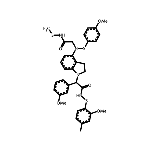 COc1ccc(SN(CC(=O)NSC(F)(F)F)c2cccc3c2CCN3C(C(=O)NSc2ccc(C)cc2OC)c2cccc(OC)c2)cc1